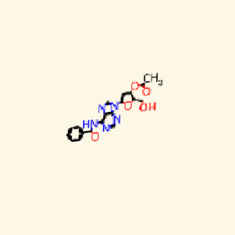 CC(=O)O[C@H]1C[C@H](n2cnc3c(NC(=O)c4ccccc4)ncnc32)O[C@@H]1CO